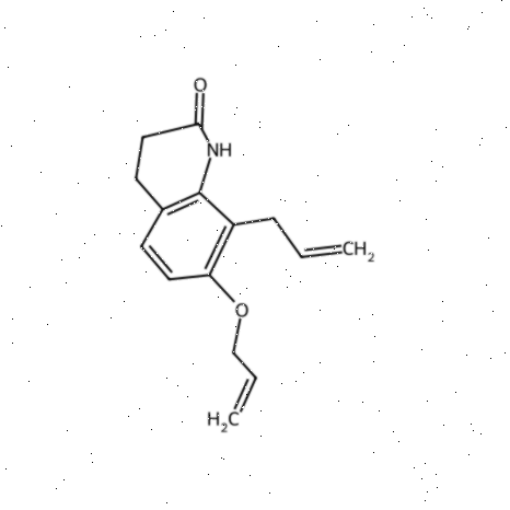 C=CCOc1ccc2c(c1CC=C)NC(=O)CC2